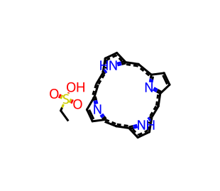 C1=Cc2cc3ccc(cc4nc(cc5ccc(cc1n2)[nH]5)C=C4)[nH]3.CCS(=O)(=O)O